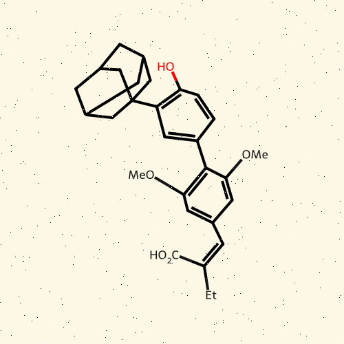 CCC(=Cc1cc(OC)c(-c2ccc(O)c(C34CC5CC(CC(C5)C3)C4)c2)c(OC)c1)C(=O)O